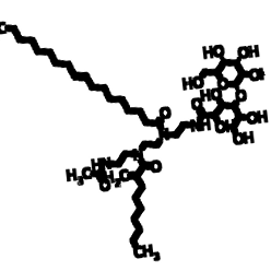 C=C(CCCCCCC)C(=O)N(CCNC(C)=O)CCN(CCNC(=O)C(O)C(O)C(O[C@@H]1OC(CO)[C@H](O)[C@H](O)C1O)C(O)CO)C(=O)CCCCCCC/C=C/CCCCCCCC